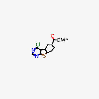 COC(=O)C1CCc2sc3ncnc(Cl)c3c2C1